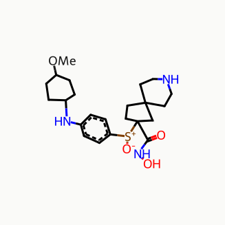 COC1CCC(Nc2ccc([S+]([O-])C3(C(=O)NO)CCC4(CCNCC4)C3)cc2)CC1